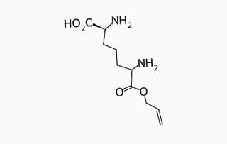 C=CCOC(=O)C(N)CCC[C@H](N)C(=O)O